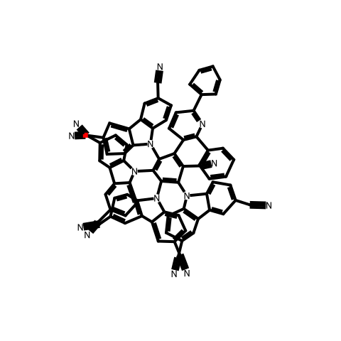 N#Cc1ccc2c(c1)c1cc(C#N)ccc1n2-c1c(C#N)c(-c2ccc(-c3ccccc3)nc2-c2ccccc2)c(-n2c3ccc(C#N)cc3c3cc(C#N)ccc32)c(-n2c3ccc(C#N)cc3c3cc(C#N)ccc32)c1-n1c2ccc(C#N)cc2c2cc(C#N)ccc21